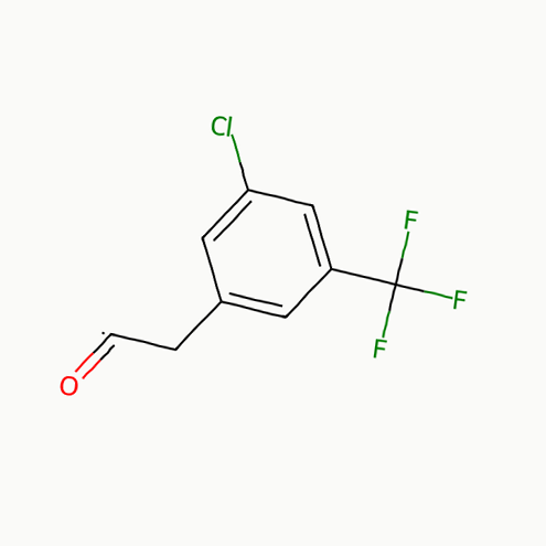 O=[C]Cc1cc(Cl)cc(C(F)(F)F)c1